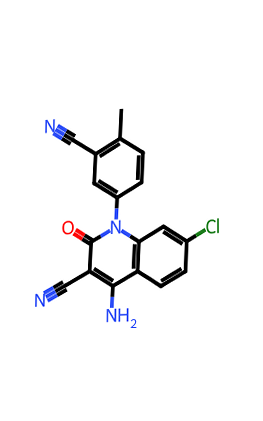 Cc1ccc(-n2c(=O)c(C#N)c(N)c3ccc(Cl)cc32)cc1C#N